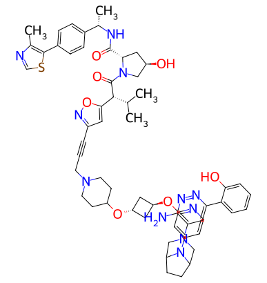 Cc1ncsc1-c1ccc([C@H](C)NC(=O)[C@@H]2C[C@@H](O)CN2C(=O)[C@@H](c2cc(C#CCN3CCC(O[C@H]4C[C@H](Oc5cc(N6C7CCC6CN(c6cc(-c8ccccc8O)nnc6N)C7)ccn5)C4)CC3)no2)C(C)C)cc1